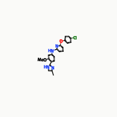 COc1cc(Nc2cccc(Oc3ccc(Cl)cc3)n2)ccc1-c1nc(C)c[nH]1